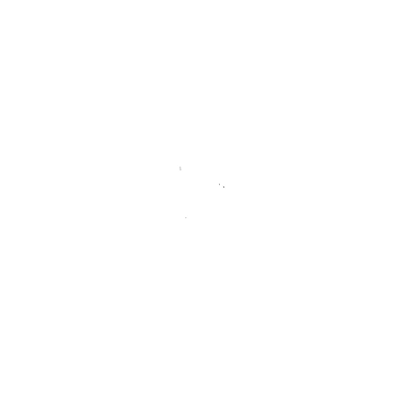 CCC(C)(C)OO.[NaH]